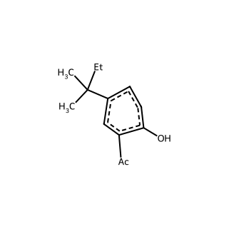 CCC(C)(C)c1ccc(O)c(C(C)=O)c1